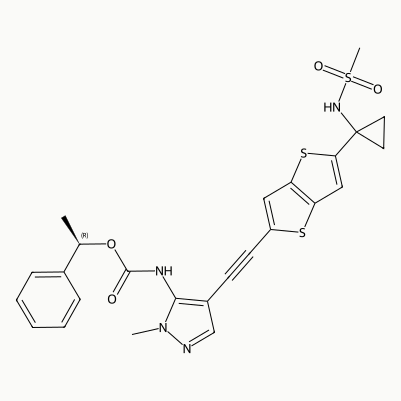 C[C@@H](OC(=O)Nc1c(C#Cc2cc3sc(C4(NS(C)(=O)=O)CC4)cc3s2)cnn1C)c1ccccc1